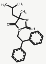 CC(C)CC1(C)NC(=N)N(CC(c2ccccc2)c2ccccc2)C1=O